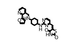 O=C1NC(=O)/C(=C\c2ccnc(NC3CCC(NCc4cccnc4-c4ccco4)CC3)n2)S1